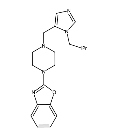 CC(C)Cn1cncc1CN1CCN(c2nc3ccccc3o2)CC1